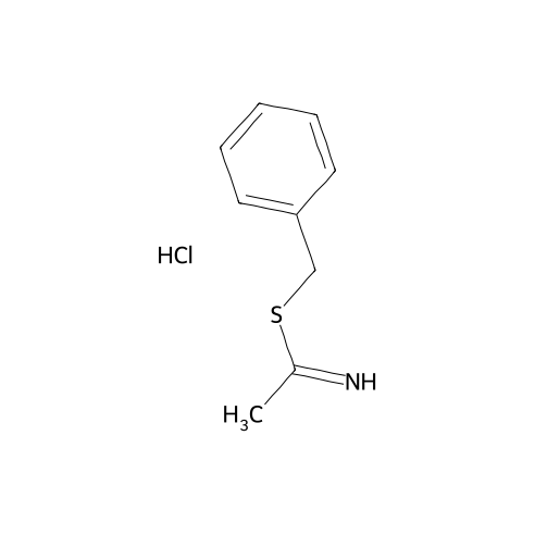 CC(=N)SCc1ccccc1.Cl